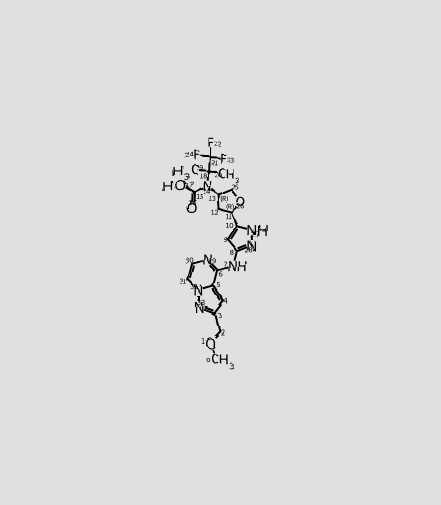 COCc1cc2c(Nc3cc([C@H]4C[C@@H](N(C(=O)O)C(C)(C)C(F)(F)F)CO4)[nH]n3)nccn2n1